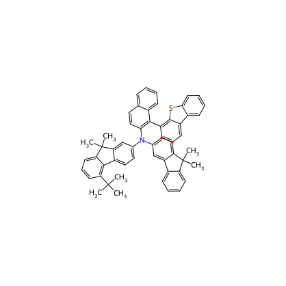 CC(C)(C)c1cccc2c1-c1ccc(N(c3ccc4c(c3)-c3ccccc3C4(C)C)c3ccc4ccccc4c3-c3cccc4c3sc3ccccc34)cc1C2(C)C